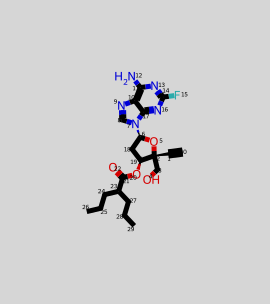 C#C[C@]1(CO)O[C@@H](n2cnc3c(N)nc(F)nc32)C[C@@H]1OC(=O)C(CCC)CCC